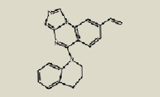 C=Cc1ccc2c(N3CCCc4ccccc43)nc3nncn3c2c1